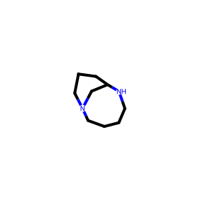 C1CCN2CCCC(C2)NC1